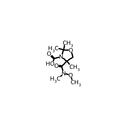 CON(C)C(=O)C1(C)COC(C)(C)N1C(=O)O